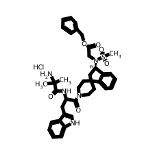 CC(C)(N)C(=O)NC(Cc1c[nH]c2ccccc12)C(=O)N1CCC2(CC1)C[C@@H](N(CC(=O)OCc1ccccc1)S(C)(=O)=O)c1ccccc12.Cl